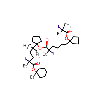 CCC1(OC(=O)C(I)(CC)CCC(C)(C)C2(OC(=O)C(I)(CC)CCCCC3(OC(=O)C(C)(I)CC)CCCC3)CCCC2)CCCCC1